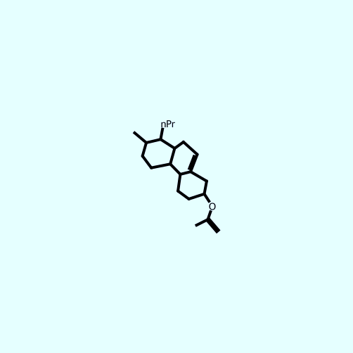 C=C(C)OC1CCC2C(=CCC3C(CCC)C(C)CCC23)C1